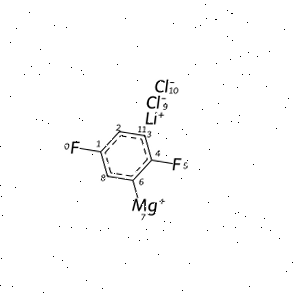 Fc1ccc(F)[c]([Mg+])c1.[Cl-].[Cl-].[Li+]